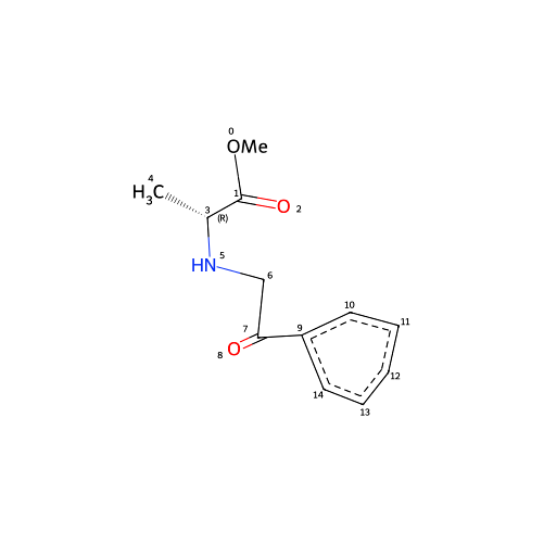 COC(=O)[C@@H](C)NCC(=O)c1ccccc1